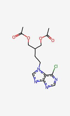 CC(=O)OCC(CCn1cnc2ncnc(Cl)c21)COC(C)=O